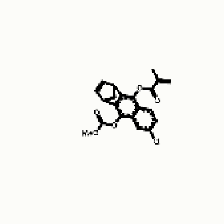 C=C(C)C(=O)Oc1c2c(c(OC(=O)OC)c3cc(Cl)ccc13)C1C=CC2C1